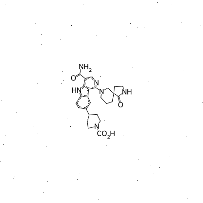 NC(=O)c1cnc(N2CCCC3(CCNC3=O)C2)c2c1[nH]c1ccc(C3CCN(C(=O)O)CC3)cc12